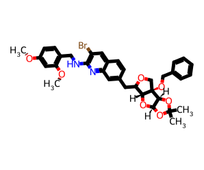 COc1ccc(CNc2nc3cc(CC4OC[C@@]5(OCc6ccccc6)[C@@H]4O[C@@H]4OC(C)(C)O[C@@H]45)ccc3cc2Br)c(OC)c1